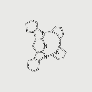 c1ccc2c(c1)c1cc3c4ccccc4n4c5cccc(n5)c5cccc(c5)n2c1nc34